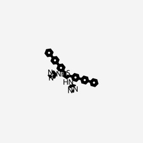 c1ccc(-c2ccc(-c3ccc(-c4ccc(-c5ccc(-c6ccc(-c7ccccc7)cc6)cc5Nc5cncnc5)s4)c(Nc4cncnc4)c3)cc2)cc1